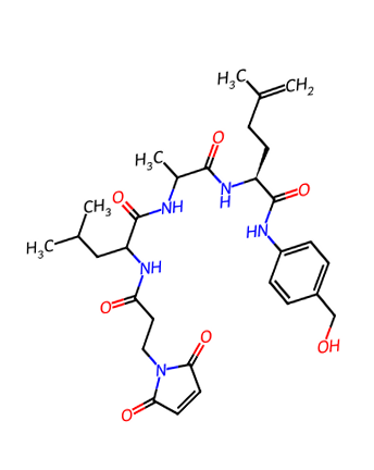 C=C(C)CC[C@H](NC(=O)C(C)NC(=O)C(CC(C)C)NC(=O)CCN1C(=O)C=CC1=O)C(=O)Nc1ccc(CO)cc1